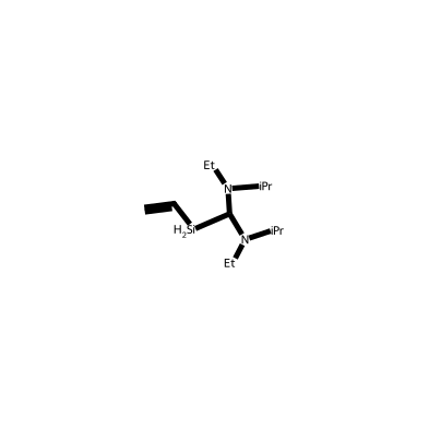 C=C[SiH2]C(N(CC)C(C)C)N(CC)C(C)C